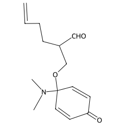 C=CCCC(C=O)COC1(N(C)C)C=CC(=O)C=C1